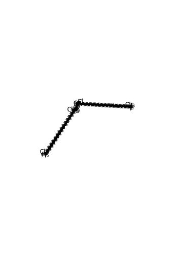 O=C(OOC(=O)C(Cl)CCCCCCCCCCCCCCCCCCCCCCCCCCCC(F)(F)Cl)C(Cl)CCCCCCCCCCCCCCCCCCCCCCCCCCCC(F)(F)Cl